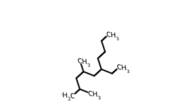 [CH2]C(C)CC(C)CC(CC)CCCC